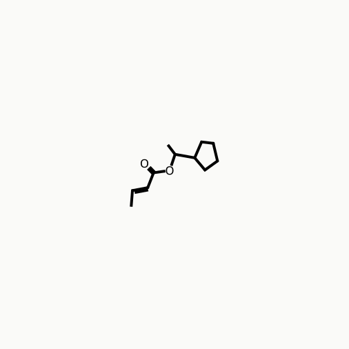 CC=CC(=O)OC(C)C1CCCC1